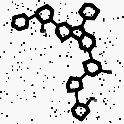 N#Cc1cc(-c2cccc(-c3ccccc3N)c2)cc(-c2ccc3c(c2)c2ccc(-c4cccc(-c5ccccc5)c4O)cc2n3-c2ccccc2)c1